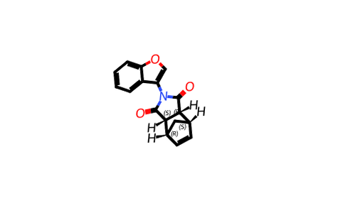 O=C1[C@@H]2[C@H](C(=O)N1c1coc3ccccc13)[C@@H]1C=C[C@H]2C1